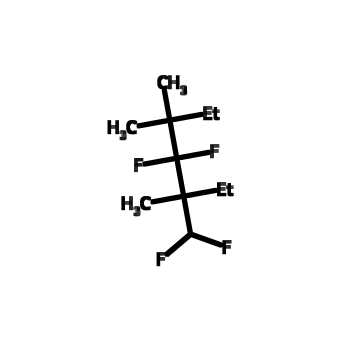 CCC(C)(C)C(F)(F)C(C)(CC)C(F)F